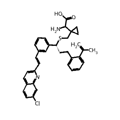 C=C(C)c1ccccc1CC[C@@H](SCC1(C(N)C(=O)O)CC1)c1cccc(/C=C/c2ccc3ccc(Cl)cc3n2)c1